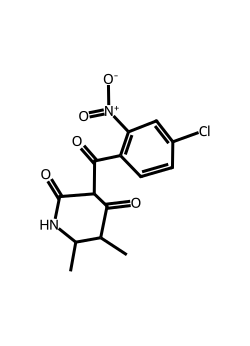 CC1NC(=O)C(C(=O)c2ccc(Cl)cc2[N+](=O)[O-])C(=O)C1C